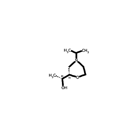 CC(C)N1CCO[C@H]([C@@H](C)O)C1